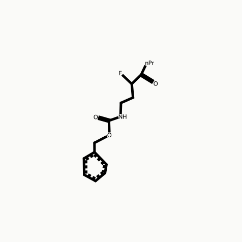 CCCC(=O)C(F)CCNC(=O)OCc1ccccc1